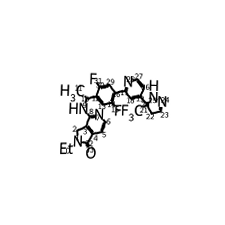 CCN1Cc2c(ccnc2N[C@@H](C)c2cc(F)c(-c3cc(C4(C(F)(F)F)CC=NN4)ccn3)cc2F)C1=O